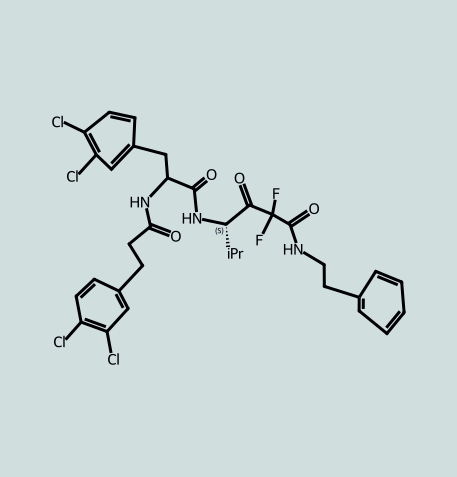 CC(C)[C@H](NC(=O)C(Cc1ccc(Cl)c(Cl)c1)NC(=O)CCc1ccc(Cl)c(Cl)c1)C(=O)C(F)(F)C(=O)NCCc1ccccc1